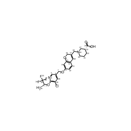 C[C@H](Oc1ncc(COc2ccc3c(c2)OCC(CN2CCC[C@@H](C(=O)O)C2)=C3)cc1Cl)C(F)(F)F